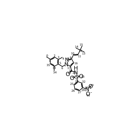 Cc1cc(C)c(Cn2nc(C=CC(C)(C)C)cc2C(=O)NS(=O)(=O)c2cccc([N+](=O)[O-])c2)c(C)c1